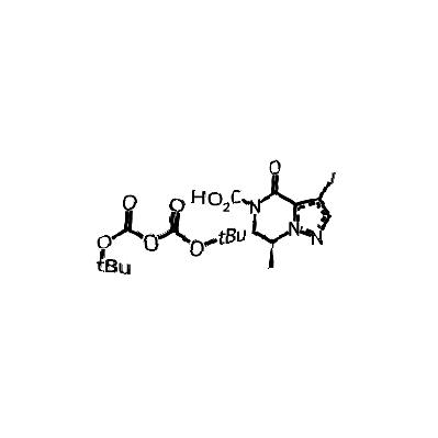 CC(C)(C)OC(=O)OC(=O)OC(C)(C)C.C[C@H]1CN(C(=O)O)C(=O)c2c(I)cnn21